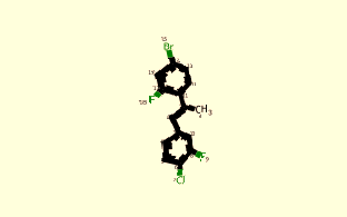 C/C(=C\c1ccc(Cl)c(F)c1)c1ccc(Br)cc1F